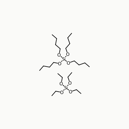 CCCCO[Si](OCCCC)(OCCCC)OCCCC.CCO[Si](OCC)(OCC)OCC